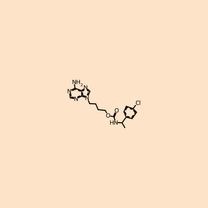 CC(NC(=O)OCCCCn1cnc2c(N)ncnc21)c1ccc(Cl)cc1